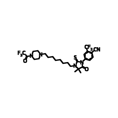 CC1(C)C(=O)N(c2ccc(C#N)c(C(F)(F)F)c2)C(=S)N1CCCCCCCCN1CCN(C(=O)C(F)(F)F)CC1